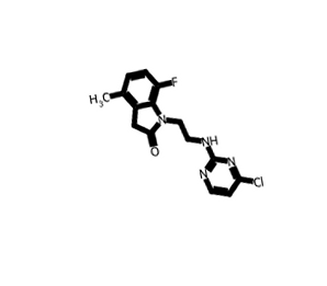 Cc1ccc(F)c2c1CC(=O)N2CCNc1nccc(Cl)n1